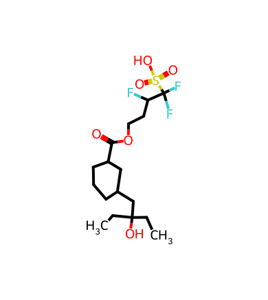 CCC(O)(CC)CC1CCCC(C(=O)OCCC(F)C(F)(F)S(=O)(=O)O)C1